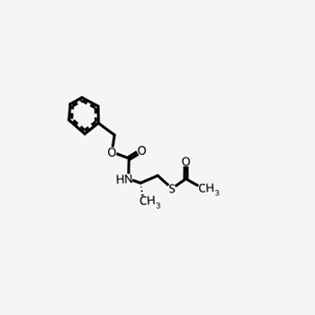 CC(=O)SC[C@H](C)NC(=O)OCc1ccccc1